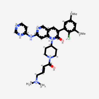 COc1cc(OC)c(Cl)c(-c2cc3cnc(Nc4ccncn4)cc3n(C3CCN(C(=O)/C=C/CN(C)C)CC3)c2=O)c1